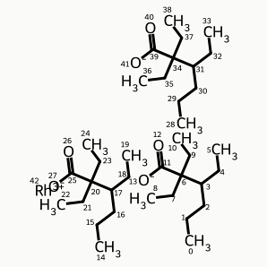 CCCC(CC)C(CC)(CC)C(=O)[O-].CCCC(CC)C(CC)(CC)C(=O)[O-].CCCC(CC)C(CC)(CC)C(=O)[O-].[Rh+3]